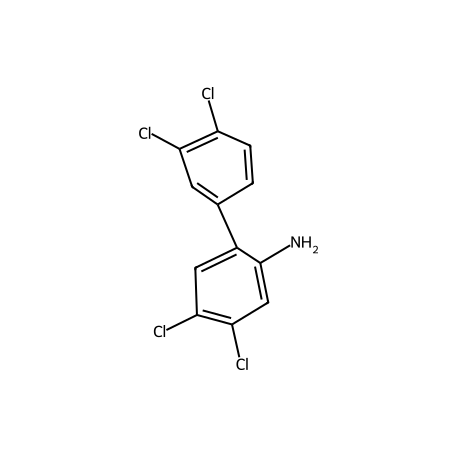 Nc1cc(Cl)c(Cl)cc1-c1ccc(Cl)c(Cl)c1